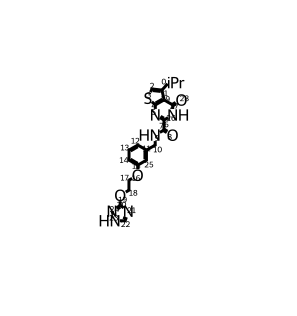 CC(C)c1csc2nc(C(=O)NCc3cccc(OCCOc4nc[nH]n4)c3)[nH]c(=O)c12